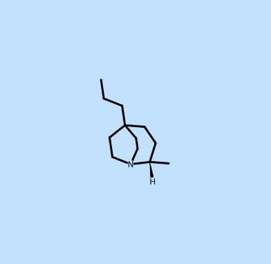 CCCC12CC[C@H](C)N(CC1)CC2